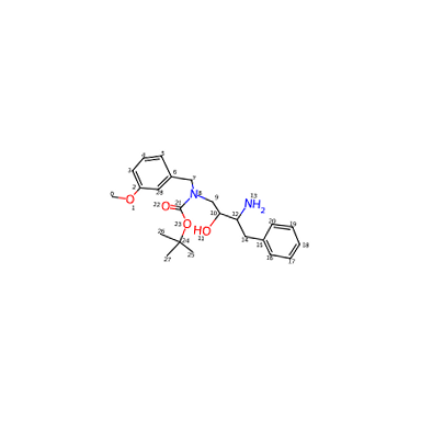 COc1cccc(CN(CC(O)C(N)Cc2ccccc2)C(=O)OC(C)(C)C)c1